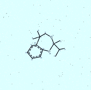 CC(C)C1(C)OCC(C)(C)c2c[c]ccc2O1